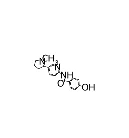 CN1CCCC1c1ccc(NC(=O)c2ccc(O)cc2)nc1